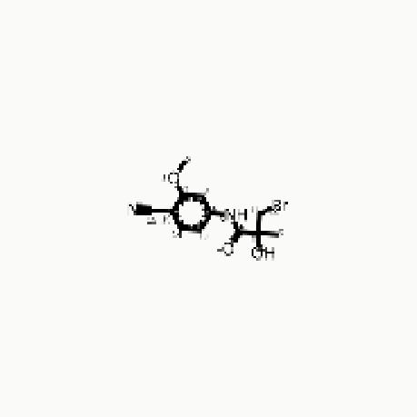 COc1cc(NC(=O)C(C)(O)CBr)ccc1C#N